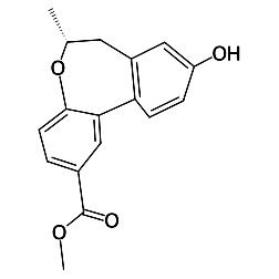 COC(=O)c1ccc2c(c1)-c1ccc(O)cc1C[C@@H](C)O2